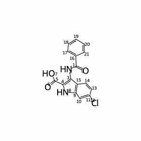 O=C(Nc1c(C(=O)O)[nH]c2cc(Cl)ccc12)c1ccccc1